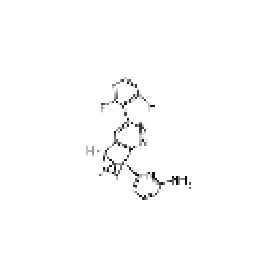 CC1(C)[C@H]2CC[C@@]1(c1cccc(N)n1)c1nnc(-c3c(F)cccc3F)cc12